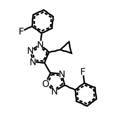 Fc1ccccc1-c1noc(-c2nnn(-c3ccccc3F)c2C2CC2)n1